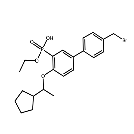 CCOP(=O)(O)c1cc(-c2ccc(CBr)cc2)ccc1OC(C)C1CCCC1